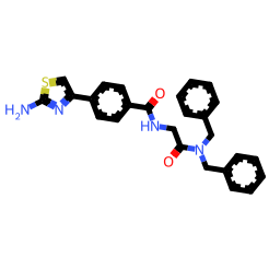 Nc1nc(-c2ccc(C(=O)NCC(=O)N(Cc3ccccc3)Cc3ccccc3)cc2)cs1